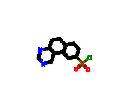 O=S(=O)(Cl)c1ccc2ccc3ncncc3c2c1